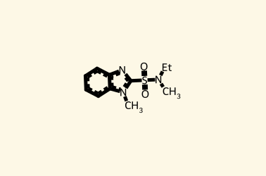 CCN(C)S(=O)(=O)c1nc2ccccc2n1C